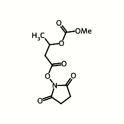 COC(=O)OC(C)CC(=O)ON1C(=O)CCC1=O